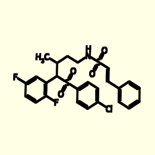 CC(CCNS(=O)(=O)C=Cc1ccccc1)C(c1cc(F)ccc1F)S(=O)(=O)c1ccc(Cl)cc1